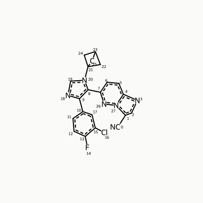 N#Cc1cnc2ccc(-c3c(-c4ccc(F)c(Cl)c4)ncn3C34CC(C3)C4)nn12